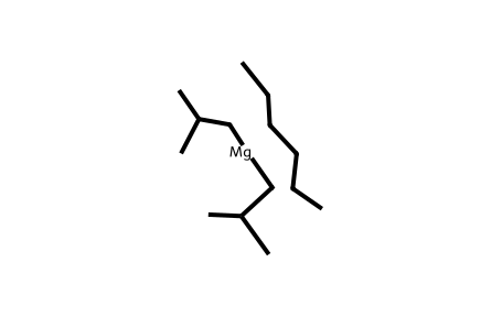 CC(C)[CH2][Mg][CH2]C(C)C.CCCCCC